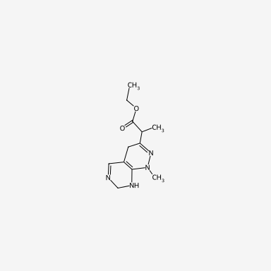 CCOC(=O)C(C)C1=NN(C)C2=C(C=NCN2)C1